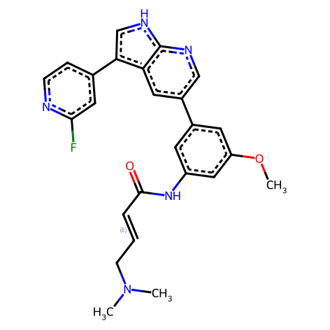 COc1cc(NC(=O)/C=C/CN(C)C)cc(-c2cnc3[nH]cc(-c4ccnc(F)c4)c3c2)c1